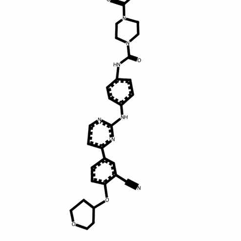 CC(=O)N1CCN(C(=O)Nc2ccc(Nc3nccc(-c4ccc(OC5CCOCC5)c(C#N)c4)n3)cc2)CC1